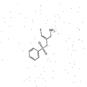 NCC(=CF)CS(=O)(=O)c1ccccc1